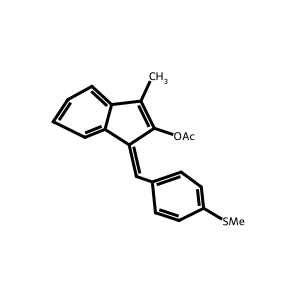 CSc1ccc(/C=C2\C(OC(C)=O)=C(C)c3ccccc32)cc1